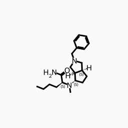 CCCC[C@@H](C(N)=O)N(C)[C@H]1CC[C@@H]2CN(Cc3ccccc3)C[C@@H]21